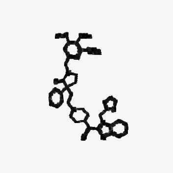 COc1cc(CN2CCC(CCN3CCC(C(=O)c4nc5ccccc5n4Cc4ccco4)CC3)(c3ccccc3)C2=O)cc(OC)c1OC